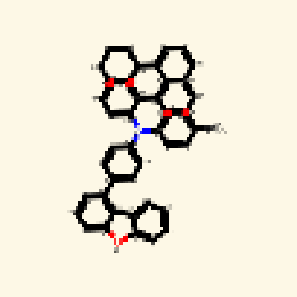 CC(C)(C)c1ccc(N(c2ccc(-c3cccc4oc5ccccc5c34)cc2)c2ccccc2-c2cccc3cccc(C4CCCCC4)c23)cc1